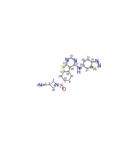 N#CC1CN(C(=O)[C@H]2CCc3c(sc4ncnc(Nc5ccc6nnsc6c5)c34)C2)C1